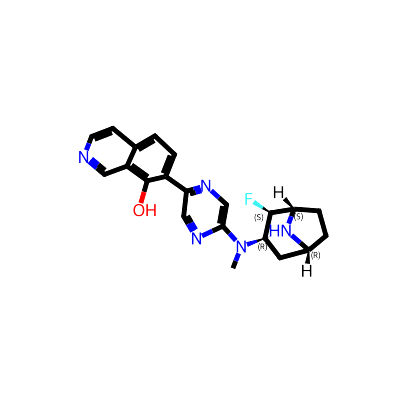 CN(c1cnc(-c2ccc3ccncc3c2O)cn1)[C@@H]1C[C@H]2CC[C@H](N2)[C@@H]1F